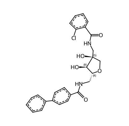 O=C(NC[C@H]1OC[C@@](O)(CNC(=O)c2ccccc2Cl)[C@@H]1O)c1ccc(-c2ccccc2)cc1